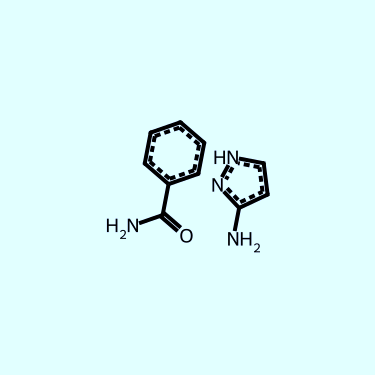 NC(=O)c1ccccc1.Nc1cc[nH]n1